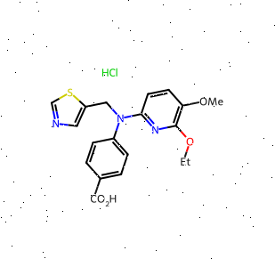 CCOc1nc(N(Cc2cncs2)c2ccc(C(=O)O)cc2)ccc1OC.Cl